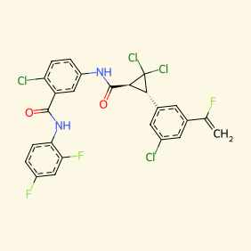 C=C(F)c1cc(Cl)cc([C@@H]2[C@@H](C(=O)Nc3ccc(Cl)c(C(=O)Nc4ccc(F)cc4F)c3)C2(Cl)Cl)c1